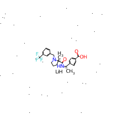 C[C@H](NC(=O)[C@]1(C)CCCN1Cc1cccc(C(F)(F)F)c1)c1ccc(C(=O)O)cc1.[LiH]